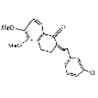 COc1ccc2c(c1OC)CCC(=Cc1cccc(Cl)c1)C2=O